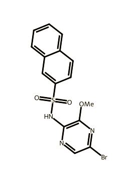 COc1nc(Br)cnc1NS(=O)(=O)c1ccc2ccccc2c1